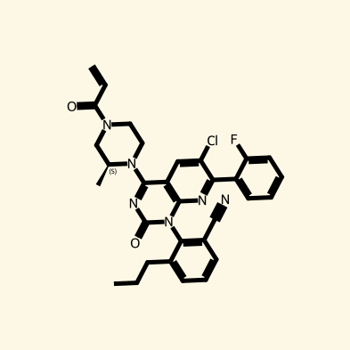 C=CC(=O)N1CCN(c2nc(=O)n(-c3c(C#N)cccc3CCC)c3nc(-c4ccccc4F)c(Cl)cc23)[C@@H](C)C1